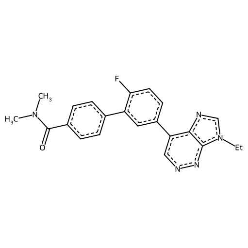 CCn1cnc2c(-c3ccc(F)c(-c4ccc(C(=O)N(C)C)cc4)c3)cnnc21